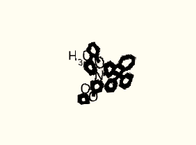 CC12C=CC=CC1Oc1c(N(c3ccc4c(c3)Oc3ccccc3O4)c3ccc4c(c3)C(c3ccccc3)(C3C=CC=CC3)C3=C4C=CCC=C3)cccc12